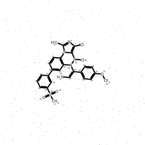 Cc1nc(Cl)c2n1-c1ccc(-c3cccc(S(C)(=O)=O)c3)cc1N(/C(=C\N)c1ccc(OC(F)(F)F)cc1)N2Cl